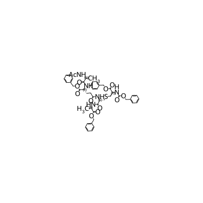 CC(=O)N[C@@H](C)C(=O)N[C@H](CCC(=O)N[C@H](CSC[C@H](NC(=O)OCc1ccccc1)C(=O)OCc1ccccc1)C(=O)N[C@H](C)C(=O)OCc1ccccc1)C(=O)OCc1ccccc1